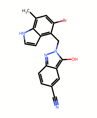 Cc1cc(Br)c(Cn2nc3ccc(C#N)cc3c2O)c2cc[nH]c12